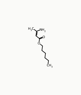 CCCCCCOC(=O)/C=C(/C)N